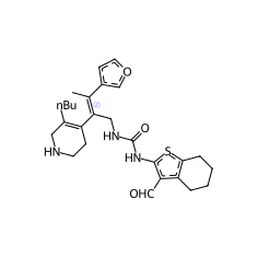 CCCCC1=C(/C(CNC(=O)Nc2sc3c(c2C=O)CCCC3)=C(\C)c2ccoc2)CCNC1